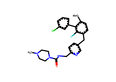 COc1ccc(Cc2ccc(CNC(=O)N3CCN(C)CC3)nc2)c(F)c1-c1cccc(Cl)c1